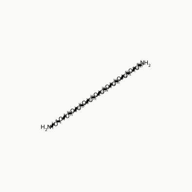 NCCOCCOCCOCCOCCOCCOCCOCCOCCOCCOCCOCCOCCOCCOCCOCCN